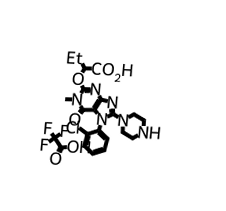 CCC(Oc1nc2nc(N3CCNCC3)n(-c3ccccc3Cl)c2c(=O)n1C)C(=O)O.O=C(O)C(F)(F)F